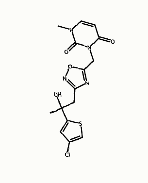 Cn1ccc(=O)n(Cc2nc(CC(C)(O)c3cc(Cl)cs3)no2)c1=O